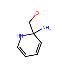 NC1(C[O])C=CC=CN1